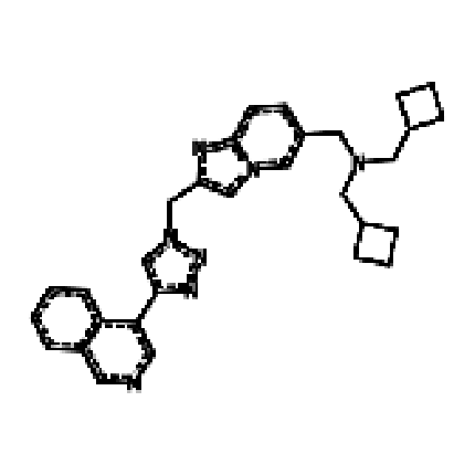 c1ccc2c(-c3cn(Cc4cn5cc(CN(CC6CCC6)CC6CCC6)ccc5n4)nn3)cncc2c1